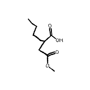 CCCC(CC(=O)OC)C(=O)O